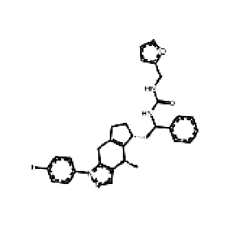 C[C@@H]1C2=C(CC[C@@H]2CC(NC(=O)NCc2ccco2)c2ccccc2)Cc2c1cnn2-c1ccc(F)cc1